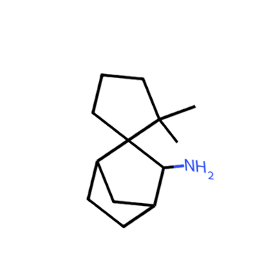 CC1(C)CCCC12C1CCC(C1)C2N